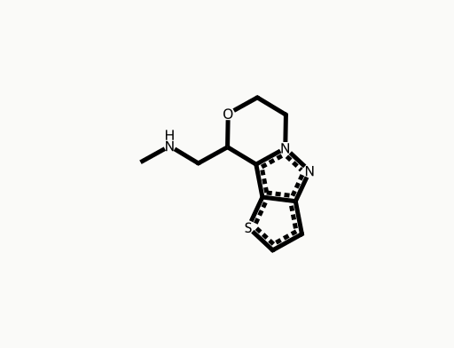 CNCC1OCCn2nc3ccsc3c21